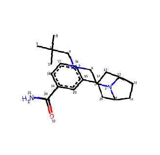 CC(C)(C)CNCCN1C2CCC1CC(c1cccc(C(N)=O)c1)C2